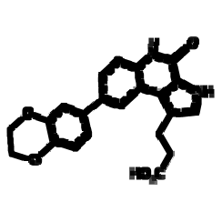 O=C(O)CCc1c[nH]c2c(=O)[nH]c3ccc(-c4ccc5c(c4)OCCO5)cc3c12